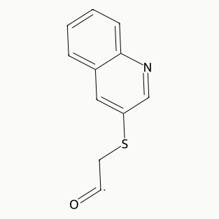 O=[C]CSc1cnc2ccccc2c1